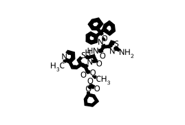 Cc1ncccc1/C=C\C1=C(C(=O)OC(C)OC(=O)OC2CCCCC2)N2C(=O)[C@@H](NC(=O)C(=NOC(c3ccccc3)(c3ccccc3)c3ccccc3)c3csc(N)n3)[C@@H]2SC1